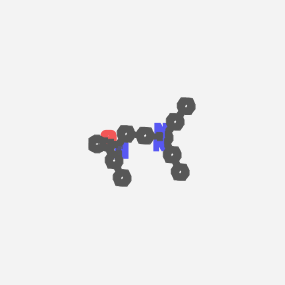 c1ccc(-c2ccc(-c3cc(-c4ccc(-c5ccccc5)cc4)nc(-c4ccc(-c5cccc(-c6nc7cc(-c8ccccc8)ccc7c7c6oc6ccccc67)c5)cc4)n3)cc2)cc1